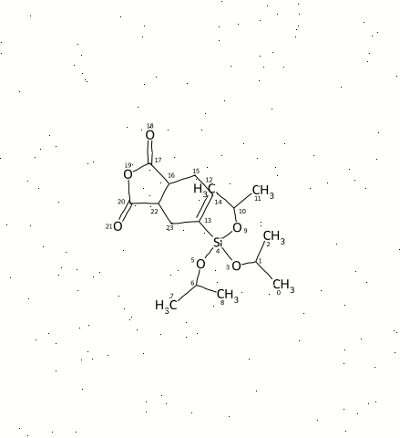 CC(C)O[Si](OC(C)C)(OC(C)C)C1=CCC2C(=O)OC(=O)C2C1